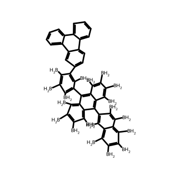 Bc1c(B)c(-c2ccc3c4ccccc4c4ccccc4c3c2)c(B)c(-c2c3c(B)c(B)c(B)c(B)c3c(-c3c(B)c(B)c4c(B)c(B)c(B)c(B)c4c3B)c3c(B)c(B)c(B)c(B)c23)c1B